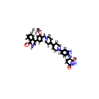 Cn1cc(-c2ccc(CN3CCC(C4CCN(c5ccc(NC6CCC(=O)NC6=O)cc5)CC4)CC3)c(OC(F)(F)F)c2)c2ccccc2c1=O